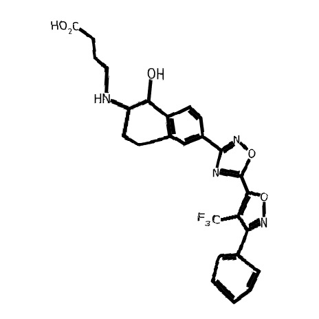 O=C(O)CCCNC1CCc2cc(-c3noc(-c4onc(-c5ccccc5)c4C(F)(F)F)n3)ccc2C1O